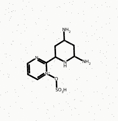 NC1CC(N)NC(c2nccc[n+]2OS(=O)(=O)O)C1